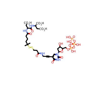 CC(C)(CCCC(=O)NC(CC(=O)O)C(=O)NC(CC(=O)O)C(=O)O)SSCCC(=O)NCC#Cc1cn(C2CC(O)C(COP(=O)(O)OP(=O)(O)OP(=O)(O)O)O2)c(=O)[nH]c1=O